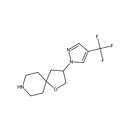 FC(F)(F)c1cnn(C2COC3(CCNCC3)C2)c1